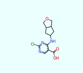 O=C(O)c1cnc(Cl)nc1NC1CC2COCC2C1